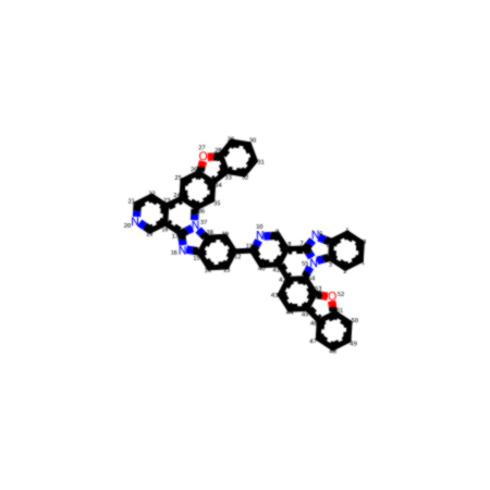 c1ccc2c(c1)nc1c3cnc(-c4ccc5nc6c7cnccc7c7cc8oc9ccccc9c8cc7n6c5c4)cc3c3ccc4c5ccccc5oc4c3n21